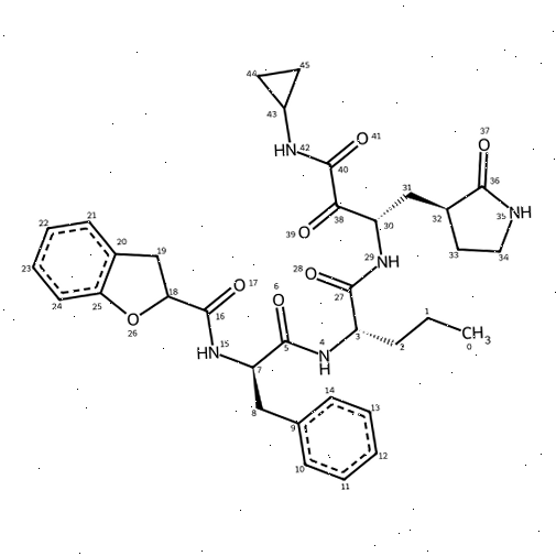 CCC[C@H](NC(=O)[C@@H](Cc1ccccc1)NC(=O)C1Cc2ccccc2O1)C(=O)N[C@@H](C[C@@H]1CCNC1=O)C(=O)C(=O)NC1CC1